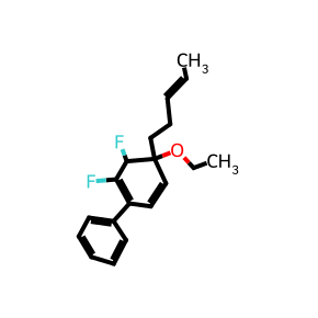 C/C=C/CCC1(OCC)C=CC(c2ccccc2)=C(F)C1F